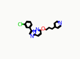 Clc1cccc(-c2cnc3ccc(OCCCc4ccncc4)nn23)c1